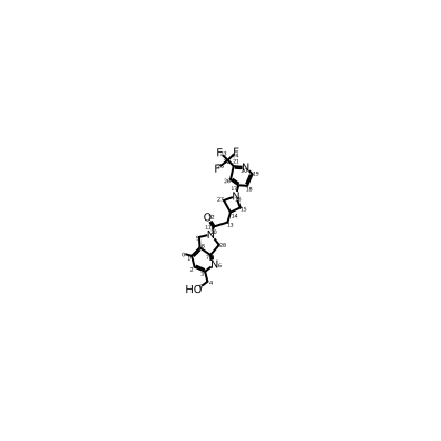 Cc1cc(CO)nc2c1CN(C(=O)CC1CN(c3ccnc(C(F)(F)F)c3)C1)C2